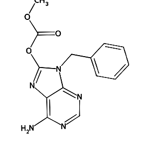 COC(=O)Oc1nc2c(N)ncnc2n1Cc1ccccc1